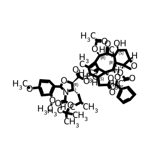 COc1ccc(C2O[C@@H](C(=O)O[C@@H]3C(C)=C4[C@@H](OC(C)=O)C(=O)[C@@]5(C)[C@H]([C@H](OC(=O)c6ccccc6)[C@@]6(OC(=O)C[C@@H]36)C4(C)C)[C@]3(OC(C)=O)CO[C@@H]3C[C@@H]5O)[C@H](CC(C)C)N2C(=O)OC(C)(C)C)c(OC)c1